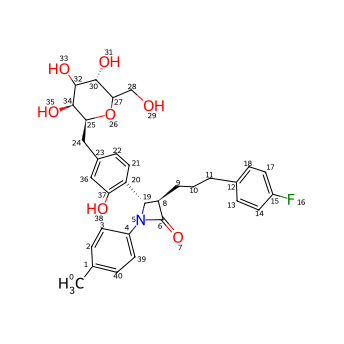 Cc1ccc(N2C(=O)[C@H](CCCc3ccc(F)cc3)[C@H]2c2ccc(C[C@@H]3OC(CO)[C@@H](O)C(O)[C@@H]3O)cc2O)cc1